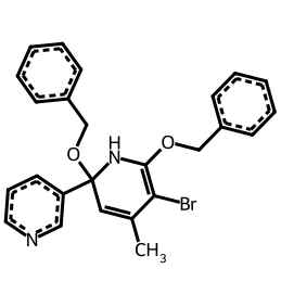 CC1=CC(OCc2ccccc2)(c2cccnc2)NC(OCc2ccccc2)=C1Br